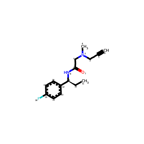 C#CCN(C)CC(=O)N[C@@H](CC)c1ccc(F)cc1